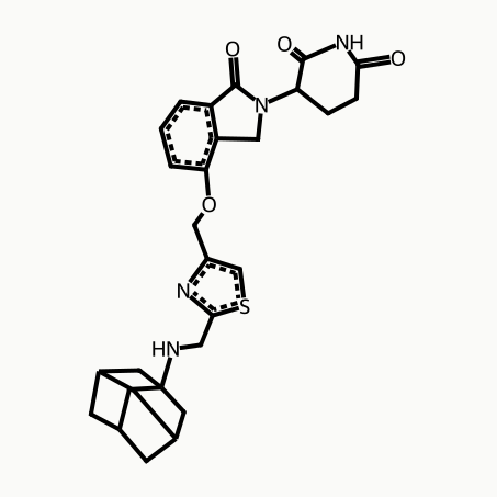 O=C1CCC(N2Cc3c(OCc4csc(CNC56CC7CC(CC(C7)C5)C6)n4)cccc3C2=O)C(=O)N1